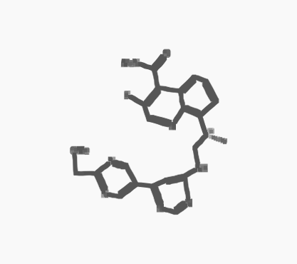 CNC(=O)c1c(F)cnc2c([C@H](C)CNc3cc(-c4cnc(COC)nc4)ncn3)cccc12